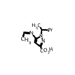 C/C=N\c1cc(C(=O)O)nn1C(C)C(C)C